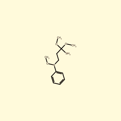 CON(CCC([SiH3])(OC)OC)c1ccccc1